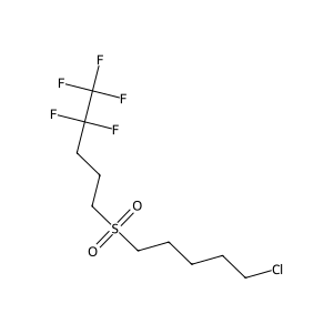 O=S(=O)(CCCCCCl)CCCC(F)(F)C(F)(F)F